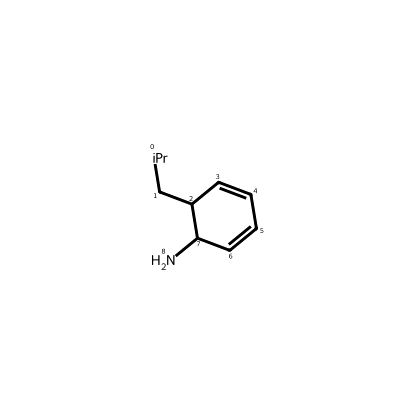 CC(C)CC1C=CC=CC1N